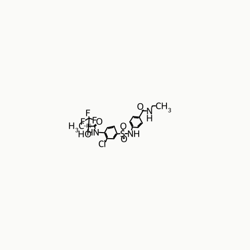 CCNC(=O)c1ccc(NS(=O)(=O)c2ccc(NC(=O)[C@@](C)(O)C(F)(F)F)c(Cl)c2)cc1